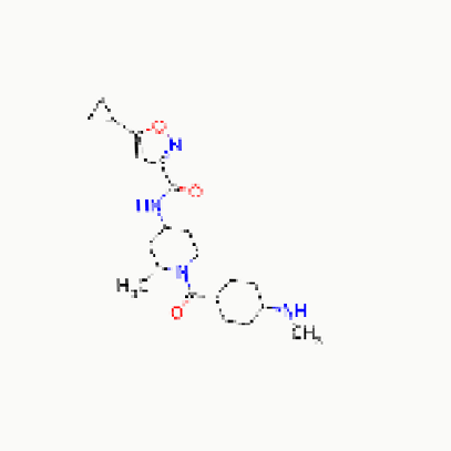 CN[C@H]1CC[C@H](C(=O)N2CCC(NC(=O)c3cc(C4CC4)on3)C[C@H]2C)CC1